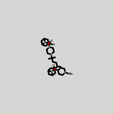 CC(C)N1CC2CC(C1)N2C(=O)N1CCN(C(C)(C)CCC(C)N2CC3CC(C2)N3C(=O)C2CCN(C(C)(C)C)CC2)CC1